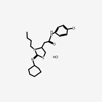 CCCCN1C(=NC2CCCCC2)SCC1CC(=O)Nc1ccc(Cl)cc1.Cl